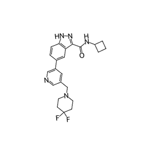 O=C(NC1CCC1)c1n[nH]c2ccc(-c3cncc(CN4CCC(F)(F)CC4)c3)cc12